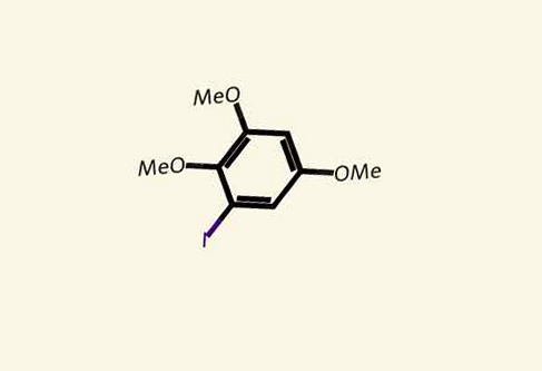 COc1cc(I)c(OC)c(OC)c1